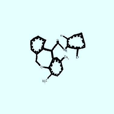 CCc1cccc(CC)c1NC(=O)C1c2ccccc2COc2c(C)ccc(C)c21